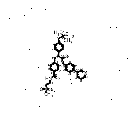 CC(C)(C)Cc1ccc(C(Cc2ccc(C(=O)NCCS(C)(=O)=O)cc2)C(=O)Nc2ccc(-c3cccnc3)cc2)cc1